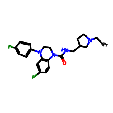 CC(C)CN1CCC(CNC(=O)N2CCN(c3ccc(F)cc3)c3cc(F)ccc32)C1